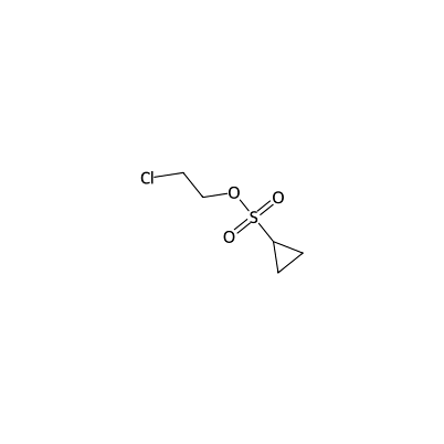 O=S(=O)(OCCCl)C1CC1